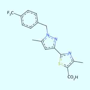 Cc1nc(-c2cc(C)n(Cc3ccc(C(F)(F)F)cc3)n2)sc1C(=O)O